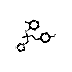 Cc1ccccc1SC(C)(CCc1ccc(F)cc1)Cn1ccnc1